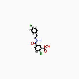 O=C(NCCc1ccc(F)cc1)c1ccc(Br)c(C(=O)O)c1